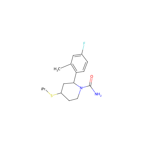 Cc1cc(F)ccc1C1CC(SC(C)C)CCN1C(N)=O